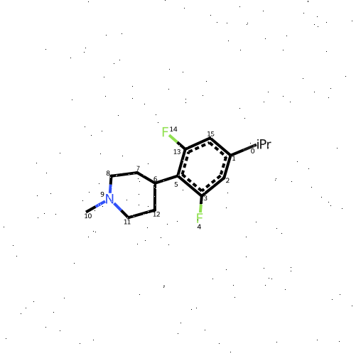 CC(C)c1cc(F)c(C2CCN(C)CC2)c(F)c1